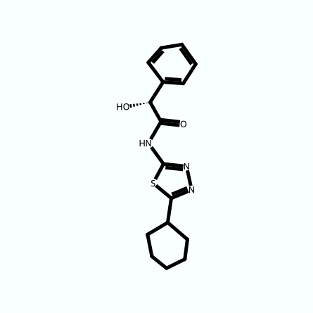 O=C(Nc1nnc(C2CCCCC2)s1)[C@H](O)c1ccccc1